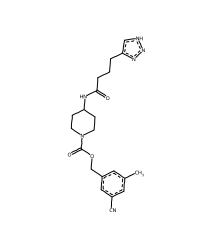 Cc1cc(C#N)cc(COC(=O)N2CCC(NC(=O)CCCc3c[nH]nn3)CC2)c1